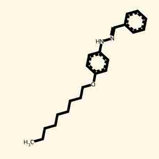 CCCCCCCCCOc1ccc(NN=Cc2ccccc2)cc1